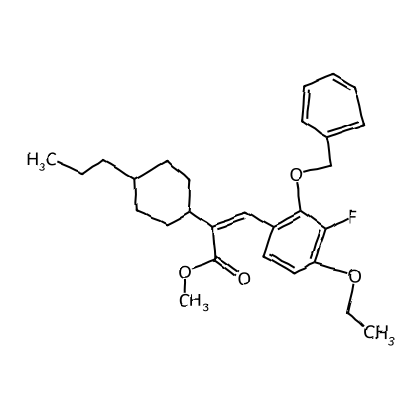 CCCC1CCC(C(=Cc2ccc(OCC)c(F)c2OCc2ccccc2)C(=O)OC)CC1